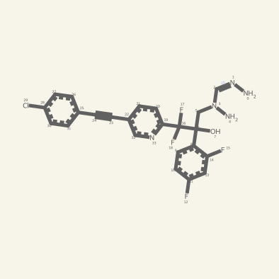 N/N=C\N(N)CC(O)(c1ccc(F)cc1F)C(F)(F)c1ccc(C#Cc2ccc(Cl)cc2)cn1